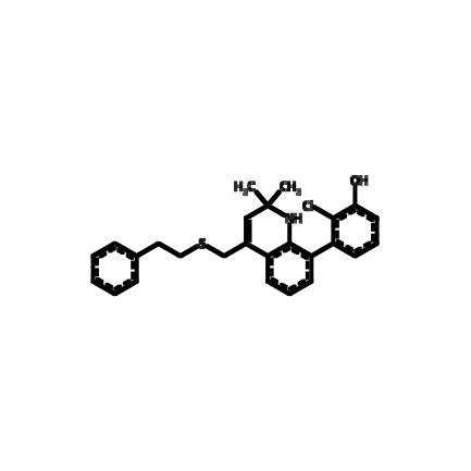 CC1(C)C=C(CSCCc2ccccc2)c2cccc(-c3cccc(O)c3Cl)c2N1